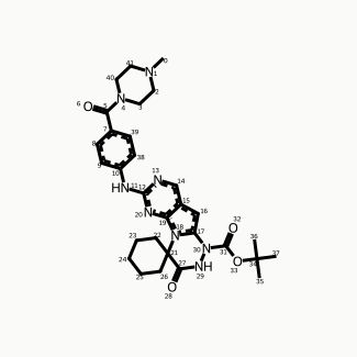 CN1CCN(C(=O)c2ccc(Nc3ncc4cc5n(c4n3)C3(CCCCC3)C(=O)NN5C(=O)OC(C)(C)C)cc2)CC1